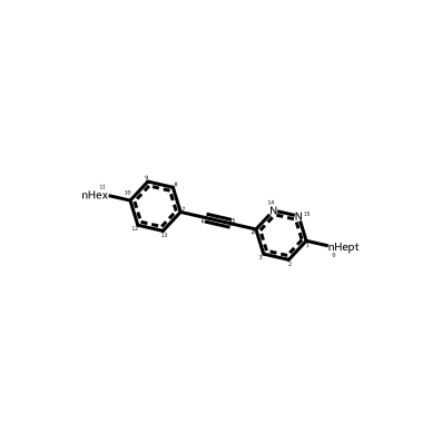 CCCCCCCc1ccc(C#Cc2ccc(CCCCCC)cc2)nn1